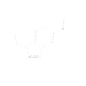 CCn1c(=O)n(C)c2cc(C(C)C)ccc21